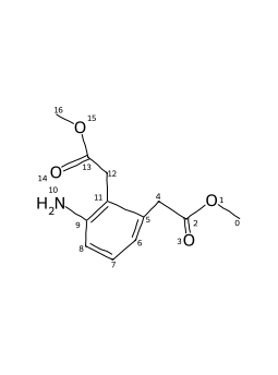 COC(=O)Cc1cccc(N)c1CC(=O)OC